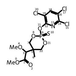 COC(=O)C(OC)C1(C)COP(=S)(Oc2nc(Cl)c(Cl)cc2Cl)OC1